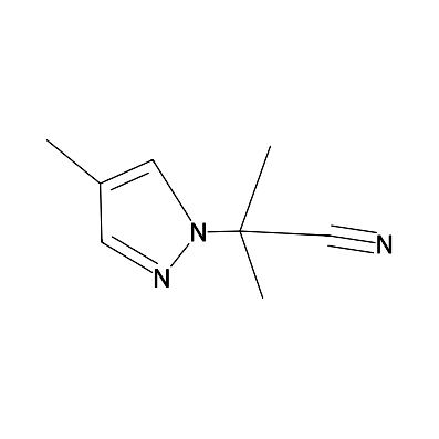 Cc1cnn(C(C)(C)C#N)c1